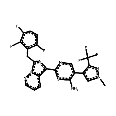 Cn1cc(-c2cnc(-c3nc(Cc4c(F)ccc(F)c4F)n4ncccc34)nc2N)c(C(F)(F)F)n1